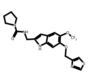 O=C(NCc1cc2cc(OC(F)(F)F)c(OCc3cscn3)cc2[nH]1)N1CCCC1